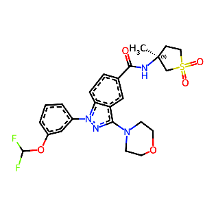 C[C@]1(NC(=O)c2ccc3c(c2)c(N2CCOCC2)nn3-c2cccc(OC(F)F)c2)CCS(=O)(=O)C1